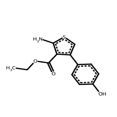 CCOC(=O)c1c(-c2ccc(O)cc2)csc1N